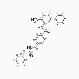 Nc1ccc(-c2ccccc2)cc1NC(=O)c1ccc(CNC(=O)Cc2ccccc2)cc1